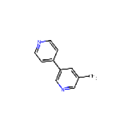 Cc1cncc(-c2ccncc2)c1